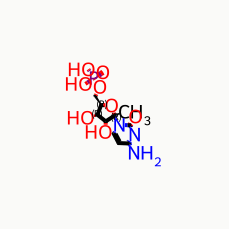 C[C@@]1(n2ccc(N)nc2=O)O[C@H](COP(=O)(O)O)[C@H](O)C1O